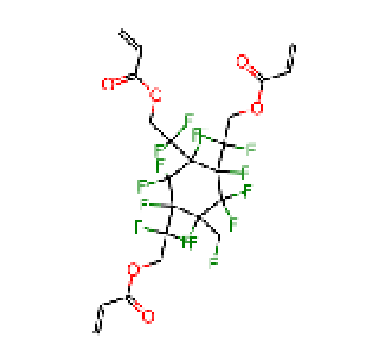 C=CC(=O)OCC(F)(F)C1(F)C(F)(F)C(F)(C(F)(F)COC(=O)C=C)C(F)(C(F)(F)COC(=O)C=C)C(F)(F)C1(F)CF